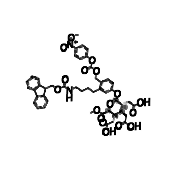 COC(=O)[C@H]1O[C@@H](Oc2ccc(COC(=O)Oc3ccc([N+](=O)[O-])cc3)c(CCCCNC(=O)OCC3c4ccccc4-c4ccccc43)c2)[C@H](CC(=O)O)[C@@H](CC(=O)O)[C@@H]1CC(=O)O